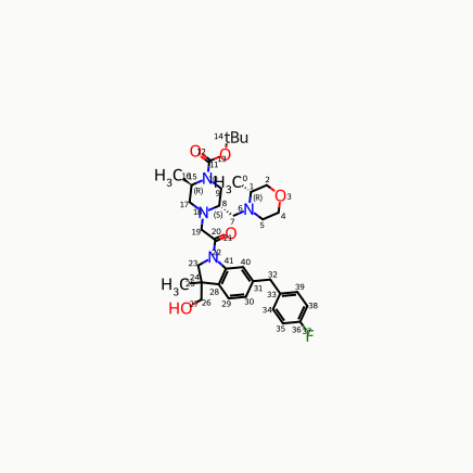 C[C@@H]1COCCN1C[C@H]1CN(C(=O)OC(C)(C)C)[C@H](C)CN1CC(=O)N1CC(C)(CO)c2ccc(Cc3ccc(F)cc3)cc21